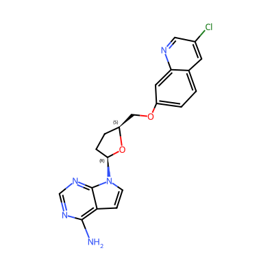 Nc1ncnc2c1ccn2[C@H]1CC[C@@H](COc2ccc3cc(Cl)cnc3c2)O1